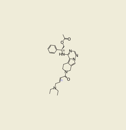 CCN(CC)C/C=C/C(=O)N1CCc2c(cn3ncnc(N[C@H](COC(C)=O)c4ccccc4)c23)C1